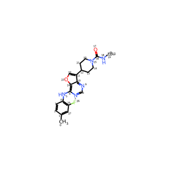 Cc1ccc(Nc2ncnc3c(C4CCN(C(=O)NC(C)(C)C)CC4)coc23)c(F)c1